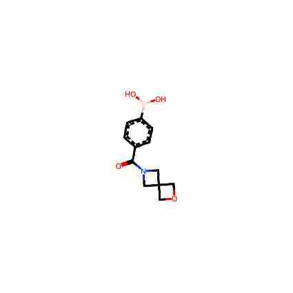 O=C(c1ccc(B(O)O)cc1)N1CC2(COC2)C1